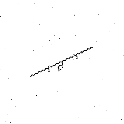 CCCCCC/C=C/CCC(=O)OCCCCCCC(CCCCCCOC(=O)CC/C=C/CCCCCC)CN(C)CCN(C)C